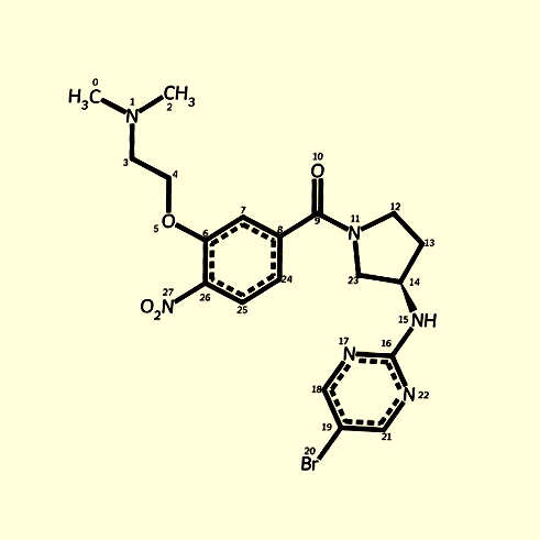 CN(C)CCOc1cc(C(=O)N2CC[C@@H](Nc3ncc(Br)cn3)C2)ccc1[N+](=O)[O-]